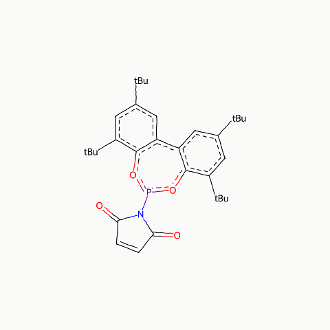 CC(C)(C)c1cc(C(C)(C)C)c2op(N3C(=O)C=CC3=O)oc3c(C(C)(C)C)cc(C(C)(C)C)cc3c2c1